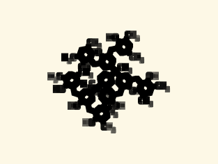 Cc1cc(C)c(O)c(Cc2cc(C(C)(C)c3ccc(C(C)(c4cc(Cc5cc(C)cc(C)c5O)c(O)c(Cc5cc(C)cc(C)c5O)c4)c4cc(Cc5cc(C)cc(C)c5O)c(O)c(Cc5cc(C)cc(C)c5O)c4)cc3)cc(Cc3cc(C)cc(C)c3O)c2O)c1